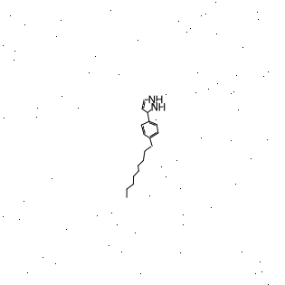 CCCCCCCCCc1ccc(C2C=CNN2)cc1